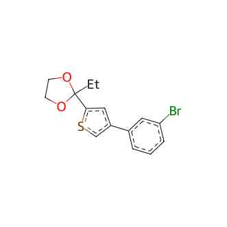 CCC1(c2cc(-c3cccc(Br)c3)cs2)OCCO1